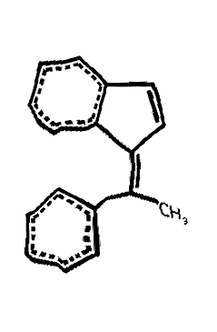 CC(=C1C=Cc2ccccc21)c1ccccc1